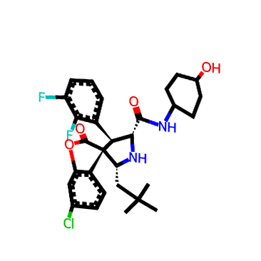 CC(C)(C)C[C@H]1N[C@@H](C(=O)NC2CCC(O)CC2)[C@H](c2cccc(F)c2F)[C@@]12C(=O)Oc1cc(Cl)ccc12